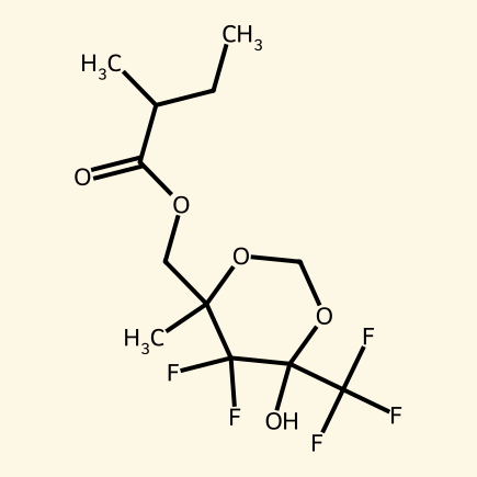 CCC(C)C(=O)OCC1(C)OCOC(O)(C(F)(F)F)C1(F)F